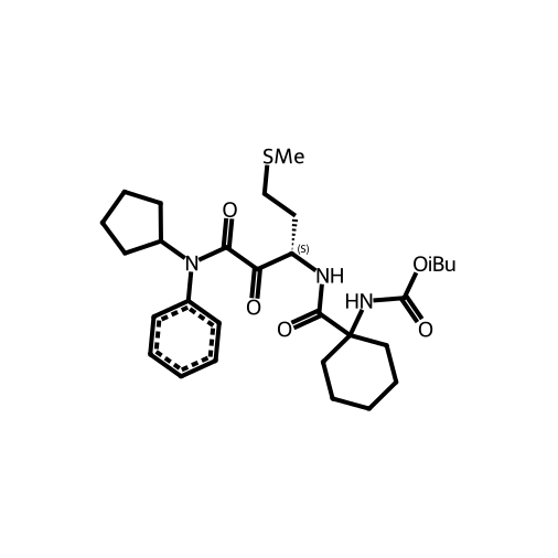 CSCC[C@H](NC(=O)C1(NC(=O)OCC(C)C)CCCCC1)C(=O)C(=O)N(c1ccccc1)C1CCCC1